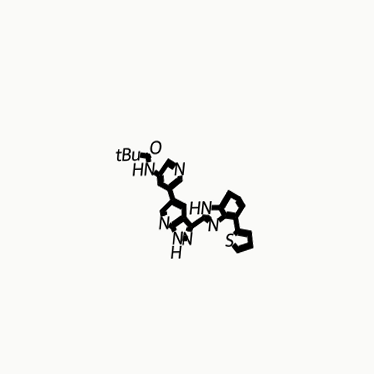 CC(C)(C)C(=O)Nc1cncc(-c2cnc3[nH]nc(-c4nc5c(-c6cccs6)cccc5[nH]4)c3c2)c1